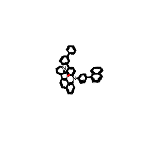 c1ccc(-c2cccc(-c3ccc(N(c4ccc(-c5cccc6ccccc56)cc4)c4cccc5ccc6c7cccnc7oc6c45)cc3)c2)cc1